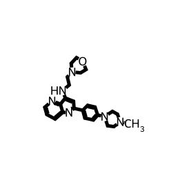 CN1CCN(c2ccc(-c3cc(NCCN4CCOCC4)c4ncccc4n3)cc2)CC1